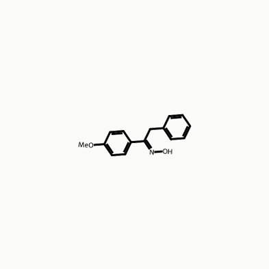 COc1ccc(/C(Cc2ccccc2)=N/O)cc1